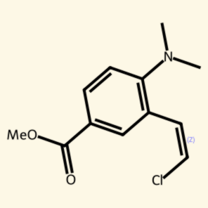 COC(=O)c1ccc(N(C)C)c(/C=C\Cl)c1